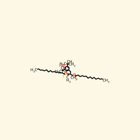 CCCCCCCCCCCCCCC(=S)OC(C)C(Cc1cc(C(C)(C)C)c(O)c(C(C)(C)C)c1)C(C)OC(=S)CCCCCCCCCCCCCC